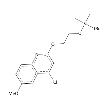 COc1ccc2nc(OCCO[Si](C)(C)C(C)(C)C)cc(Cl)c2c1